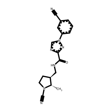 C[C@H]1[C@H](CNC(=O)c2ncn(-c3cccc(C#N)c3)n2)CCN1C#N